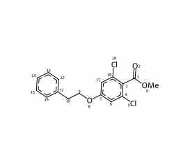 COC(=O)c1c(Cl)cc(OCCc2ccccc2)cc1Cl